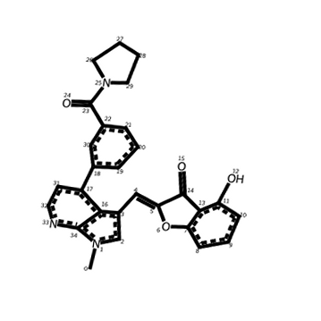 Cn1cc(C=C2Oc3cccc(O)c3C2=O)c2c(-c3cccc(C(=O)N4CCCC4)c3)ccnc21